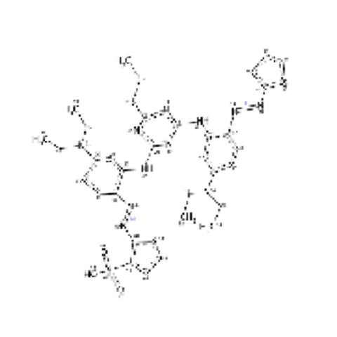 CCSc1nc(Nc2cc(N(CC)CC)ccc2/N=N/c2cccs2)nc(Nc2cc(N(CC)CC)ccc2/N=N/c2sccc2S(=O)(=O)O)n1